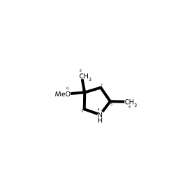 COC1(C)CNC(C)C1